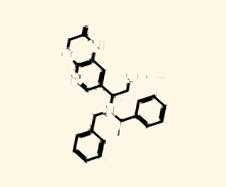 C[C@H](c1ccccc1)N(Cc1ccccc1)C(CC(=O)O)c1cnc2c(c1)NC(=S)CO2